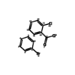 Brc1ccccc1.O=C(Cl)c1ccccc1Cl